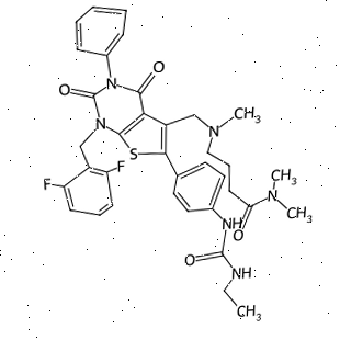 CCNC(=O)Nc1ccc(-c2sc3c(c2CN(C)CCCC(=O)N(C)C)c(=O)n(-c2ccccc2)c(=O)n3Cc2c(F)cccc2F)cc1